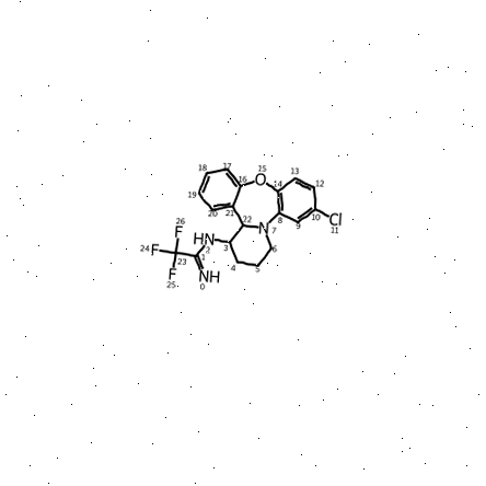 N=C(NC1CCCN2c3cc(Cl)ccc3Oc3ccccc3C12)C(F)(F)F